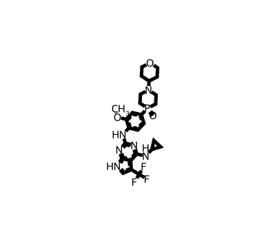 COc1cc(P2(=O)CCN(C3CCOCC3)CC2)ccc1Nc1nc(NC2CC2)c2c(C(F)(F)F)c[nH]c2n1